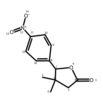 CC1(C)CC(=O)OC1c1ccc([N+](=O)[O-])cc1